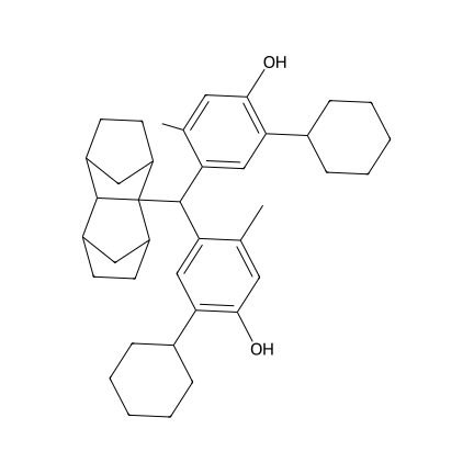 Cc1cc(O)c(C2CCCCC2)cc1C(c1cc(C2CCCCC2)c(O)cc1C)C12C3CCC(C3)C1C1CCC2C1